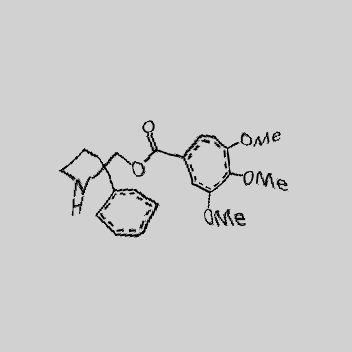 COc1cc(C(=O)OCC2(c3ccccc3)CCN2)cc(OC)c1OC